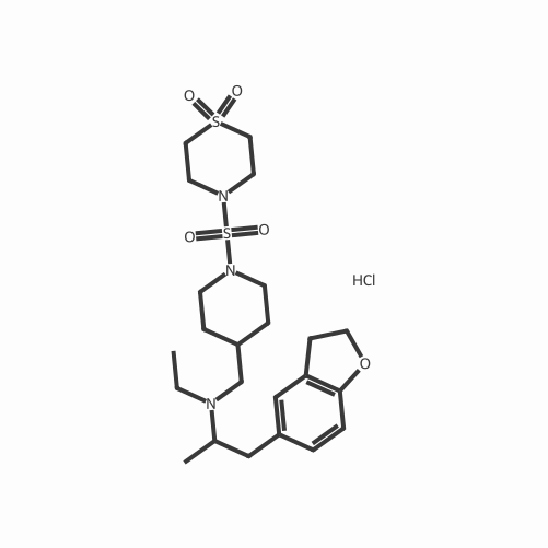 CCN(CC1CCN(S(=O)(=O)N2CCS(=O)(=O)CC2)CC1)C(C)Cc1ccc2c(c1)CCO2.Cl